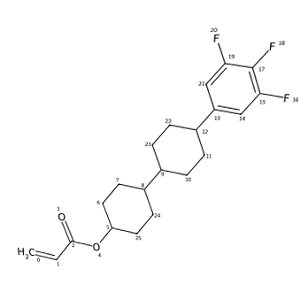 C=CC(=O)OC1CCC(C2CCC(c3cc(F)c(F)c(F)c3)CC2)CC1